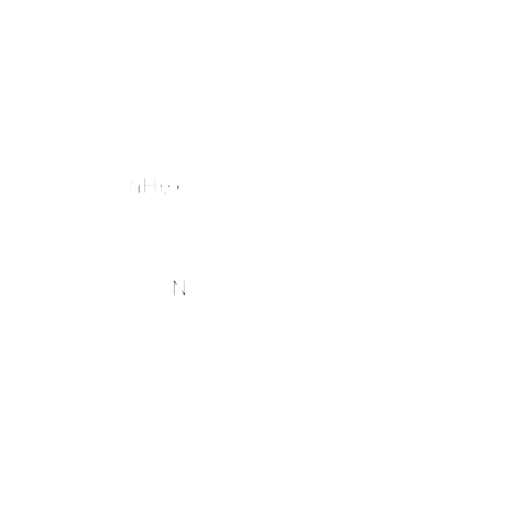 CCCCCCc1nccc2ccccc12